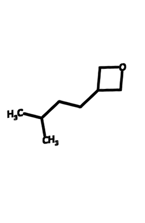 CC(C)CCC1COC1